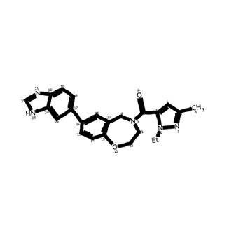 CCn1nc(C)cc1C(=O)N1CCOc2ccc(-c3ccc4nc[nH]c4c3)cc2C1